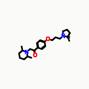 CC1CCCC(C)N1CC(=O)c1ccc(OCCCN2CCC[C@H]2C)cc1